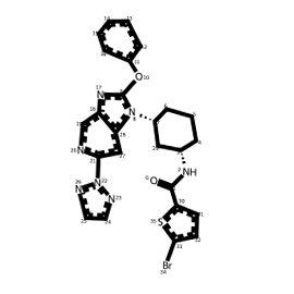 O=C(N[C@H]1CCC[C@@H](n2c(Oc3ccccc3)nc3cnc(-n4nccn4)cc32)C1)c1ccc(Br)s1